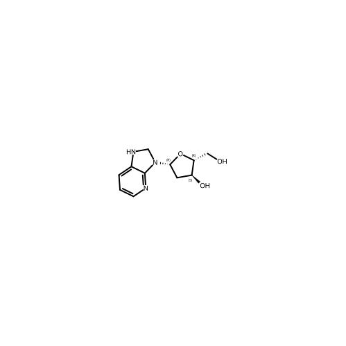 OC[C@H]1O[C@@H](N2CNc3cccnc32)C[C@@H]1O